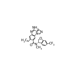 C=Cc1cc2nc(N)c3cncn3c2cc1C(=O)N(C)[C@@H]1COc2cc(C(F)(F)F)ccc21